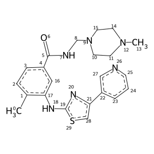 Cc1ccc(C(=O)NCN2CCN(C)CC2)cc1Nc1nc(-c2cccnc2)cs1